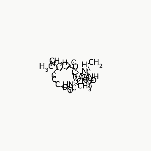 C=C[C@@H]1C[C@]1(NC(=O)[C@@H]1C[C@]2(OC)CN1C(=O)[C@H](C(C)(C)C)NC(=O)OCCCCCCc1cc3cc2ccc3cc1N(C)C)C(=O)NS(=O)(=O)C1CC1